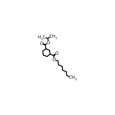 CCCCCCCOC(=O)C1CCCC(C(=O)OC(C)C)C1